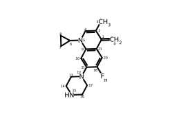 C=C1C(C)=CN(C2CC2)c2cc(N3CCNCC3)c(F)cc21